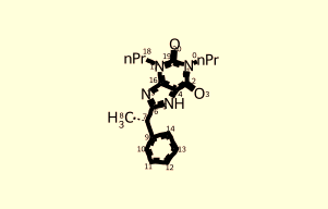 CCCn1c(=O)c2[nH]c([C@@H](C)c3ccccc3)nc2n(CCC)c1=O